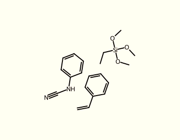 C=Cc1ccccc1.CC[Si](OC)(OC)OC.N#CNc1ccccc1